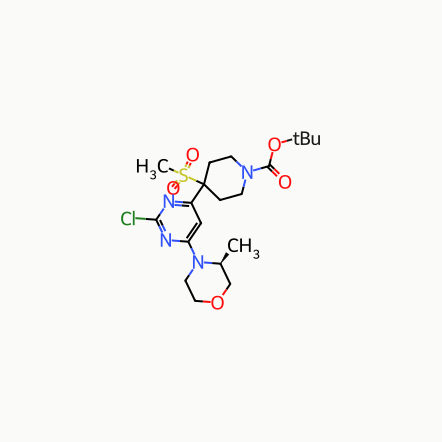 C[C@H]1COCCN1c1cc(C2(S(C)(=O)=O)CCN(C(=O)OC(C)(C)C)CC2)nc(Cl)n1